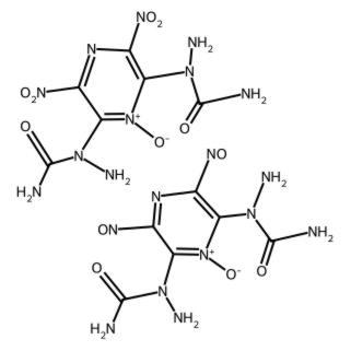 NC(=O)N(N)c1c(N=O)nc(N=O)c(N(N)C(N)=O)[n+]1[O-].NC(=O)N(N)c1c([N+](=O)[O-])nc([N+](=O)[O-])c(N(N)C(N)=O)[n+]1[O-]